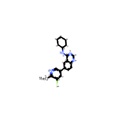 COc1ncc(-c2ccc3ncnc(NC4CCCCC4)c3c2)cc1F